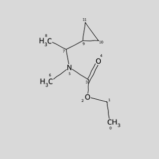 CCOC(=O)N(C)C(C)C1CC1